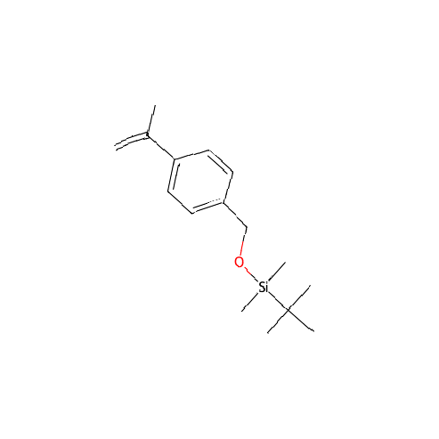 C=C(C)c1ccc(CO[Si](C)(C)C(C)(C)C)cc1